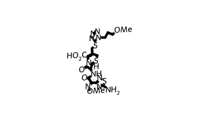 COCCCn1nnnc1SCC1=C(C(=O)O)N2C(=O)C(NC(=O)/C(=N/OC)c3nsc(N)n3)[C@H]2SC1